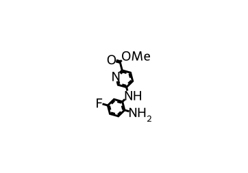 COC(=O)c1ccc(Nc2cc(F)ccc2N)cn1